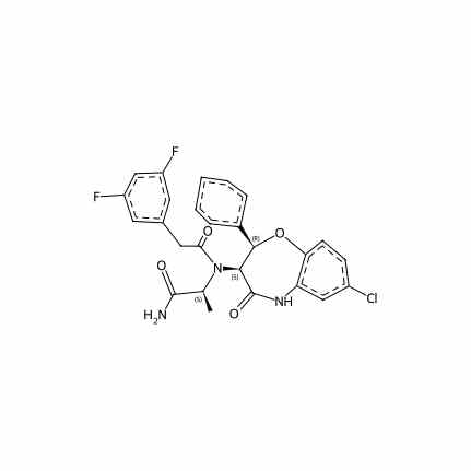 C[C@@H](C(N)=O)N(C(=O)Cc1cc(F)cc(F)c1)[C@@H]1C(=O)Nc2cc(Cl)ccc2O[C@@H]1c1ccccc1